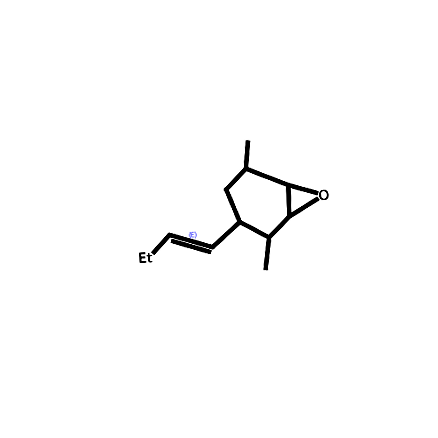 CC/C=C/C1CC(C)C2OC2C1C